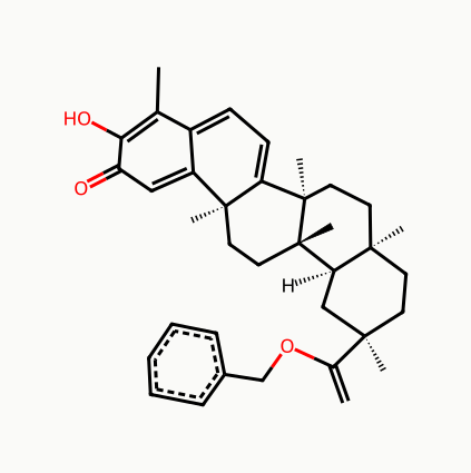 C=C(OCc1ccccc1)[C@]1(C)CC[C@]2(C)CC[C@]3(C)C4=CC=C5C(=CC(=O)C(O)=C5C)[C@]4(C)CC[C@@]3(C)[C@@H]2C1